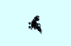 Cc1cc(Oc2ccccc2OC(C)C)ccc1C1(N)C(=O)C(N)C2c3c1ccc(N)c3SC2C(=O)NC1CCCN(C)C1